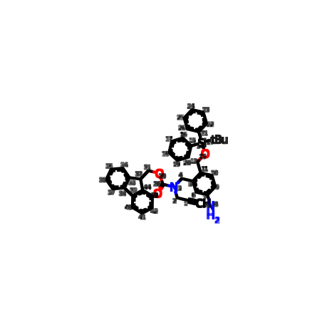 C#CCN(Cc1cc(N)ccc1CO[Si](c1ccccc1)(c1ccccc1)C(C)(C)C)C(=O)OCC1c2ccccc2-c2ccccc21